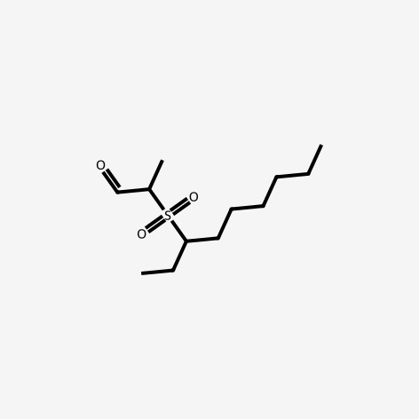 CCCCCCC(CC)S(=O)(=O)C(C)C=O